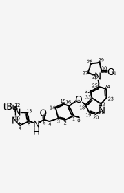 Cc1cc(CC(=O)Nc2cnn(C(C)(C)C)c2)ccc1Oc1ccnc2ccc(N3CCCC3=O)cc12